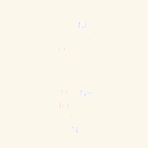 O=C1Nc2ccccc2C1=C1OCc2cc(CCNC(Cc3cccnc3)C(=O)O)ccc21